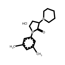 Cc1cc(C)cc(N2CCC(N3CCCCC3)C2=O)c1.Cl